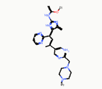 C=C(CN1CCN(C(C)C)CC1)\N=C/C(=C\N)C(/C)=C/C(c1ncccn1)=c1/[nH]c(NC(=C)OCC)nc1=C